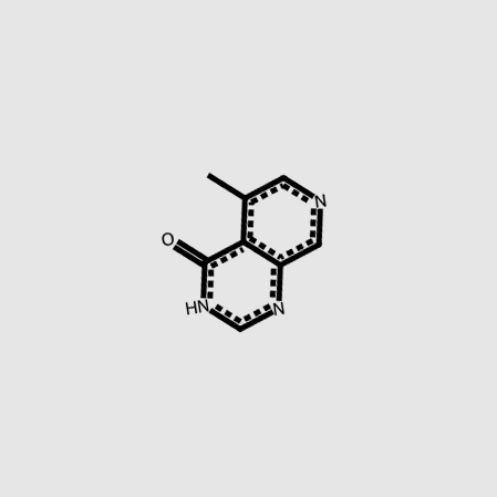 Cc1cncc2nc[nH]c(=O)c12